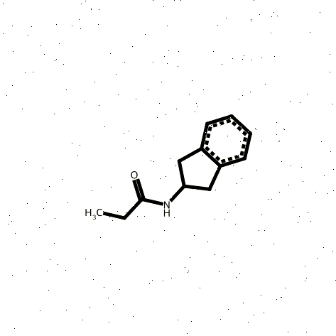 CCC(=O)NC1Cc2ccccc2C1